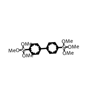 CO[Si](OC)(OC)c1ccc(-c2ccc([Si](OC)(OC)OC)cc2)cc1